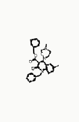 Cc1ccc2c(c1)c(N1CCN(C)CC1)c(C(=O)OCc1ccccc1)c(=O)n2Cc1ccccc1